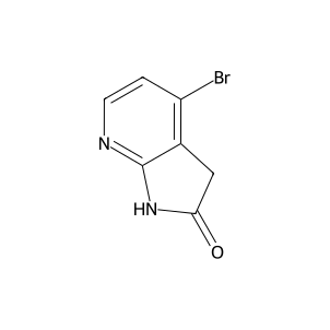 O=C1Cc2c(Br)ccnc2N1